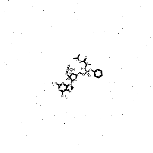 CC(C)OC(=O)[C@@H](C)NP(=O)(OC[C@H]1O[C@@H](n2cnc3c(N)nc(N)nc32)[C@](C)(N=[N+]=[N-])[C@@H]1O)Oc1ccccc1